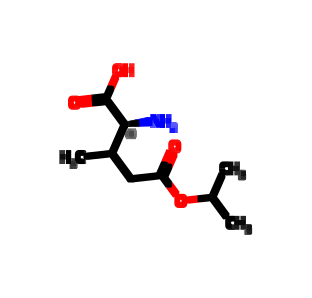 CC(C)OC(=O)CC(C)[C@H](N)C(=O)O